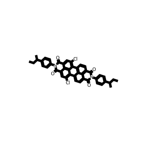 CCC(C)c1ccc(N2C(=O)c3ccc4c5c(Cl)cc6c7c(cc(Cl)c(c8ccc(c3c48)C2=O)c75)C(=O)N(c2ccc(C(C)CC)cc2)C6=O)cc1